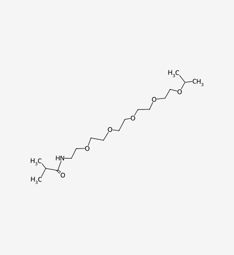 CC(C)OCCOCCOCCOCCOCCNC(=O)C(C)C